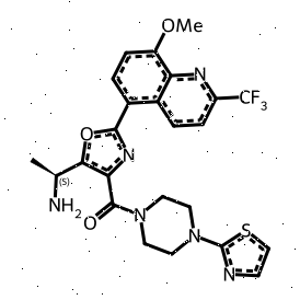 COc1ccc(-c2nc(C(=O)N3CCN(c4nccs4)CC3)c([C@H](C)N)o2)c2ccc(C(F)(F)F)nc12